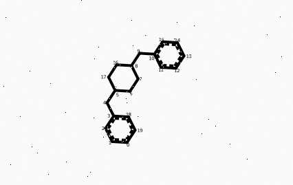 c1ccc(CC2CCC(Cc3ccccc3)CC2)cc1